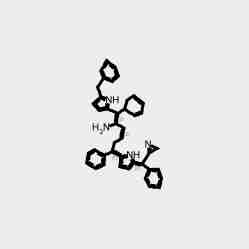 NC(/C=C\C/C(c1ccccc1)=c1/cc/c(=C(/C2=NC2)c2ccccc2)[nH]1)=C(\c1ccc(Cc2ccccc2)[nH]1)C1C=CC=CC1